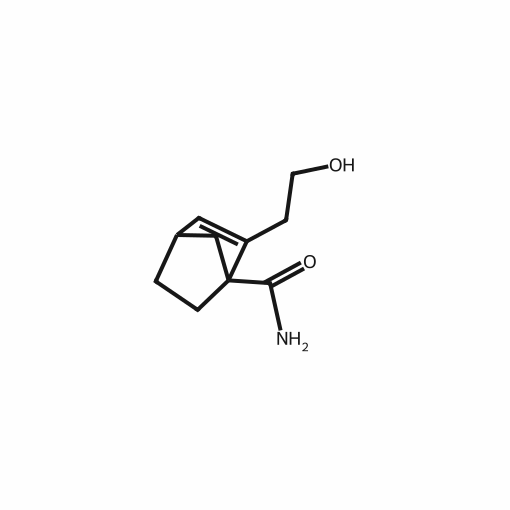 NC(=O)C12CCC(C=C1CCO)C2